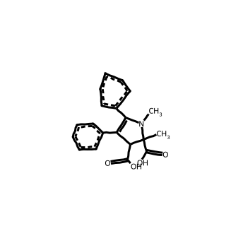 CN1C(c2ccccc2)=C(c2ccccc2)C(C(=O)O)C1(C)C(=O)O